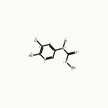 CC(C)(C)OC(=O)N(Br)c1cnc(C#N)c(Cl)c1